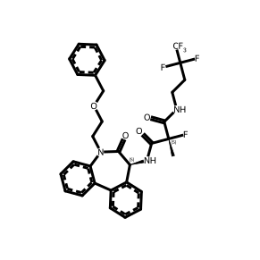 C[C@](F)(C(=O)NCCC(F)(F)C(F)(F)F)C(=O)N[C@@H]1C(=O)N(CCOCc2ccccc2)c2ccccc2-c2ccccc21